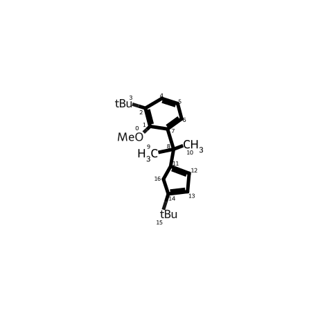 COc1c(C(C)(C)C)cccc1C(C)(C)C1=CC=C(C(C)(C)C)C1